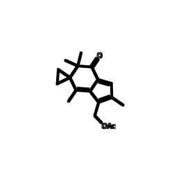 CC(=O)OCC1=C(C)C=C2C(=O)C(C)(C)C3(CC3)C(C)=C21